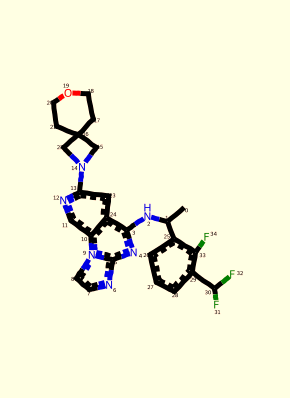 CC(Nc1nc2nccn2c2cnc(N3CC4(CCOCC4)C3)cc12)c1cccc(C(F)F)c1F